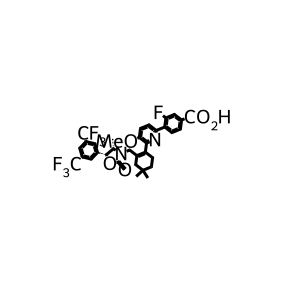 COc1ccc(-c2ccc(C(=O)O)cc2F)nc1C1=C(CN2C(=O)O[C@H](c3cc(C(F)(F)F)cc(C(F)(F)F)c3)[C@@H]2C)CC(C)(C)CC1